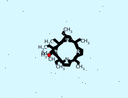 CCC1=Cc2nc1c(CC)c1c(CC)c(CC)c(c(CC)c3nc(c(CC)c4ccc([nH]4)c2CC)C=C3)n1CC.[Pd]